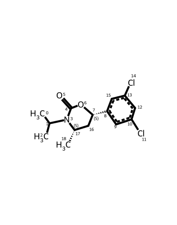 CC(C)N1C(=O)O[C@H](c2cc(Cl)cc(Cl)c2)C[C@@H]1C